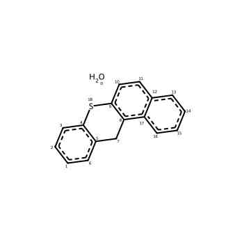 O.c1ccc2c(c1)Cc1c(ccc3ccccc13)S2